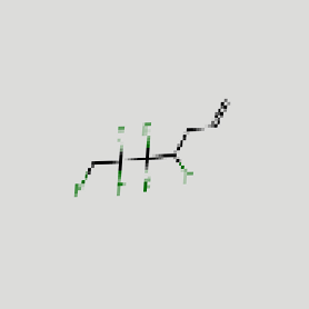 C=CCC(F)C(F)(F)C(F)(F)CF